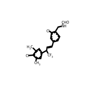 Cc1cc(C(/C=C/c2ccc(CNC=O)c(Cl)c2)C(F)(F)F)cc(C)c1Cl